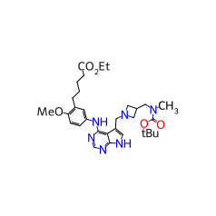 CCOC(=O)CCCCc1cc(Nc2ncnc3[nH]cc(CN4CC(CN(C)C(=O)OC(C)(C)C)C4)c23)ccc1OC